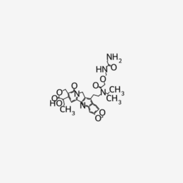 CC[C@@]1(O)C(=O)OCc2c1cc1n(c2=O)Cc2c-1nc1cc3c(cc1c2CCN(C(=O)COCNC(=O)CN)C(C)C)OCO3